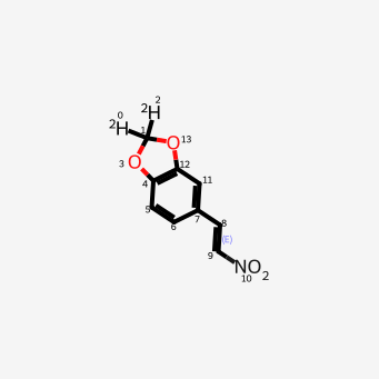 [2H]C1([2H])Oc2ccc(/C=C/[N+](=O)[O-])cc2O1